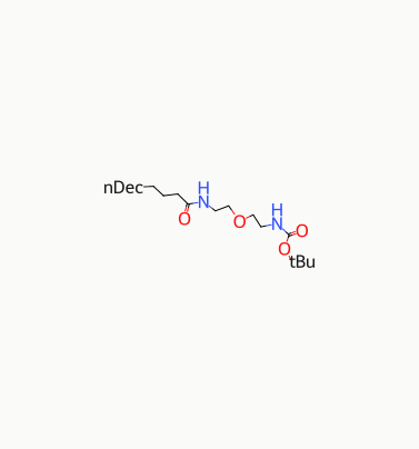 CCCCCCCCCCCCCC(=O)NCCOCCNC(=O)OC(C)(C)C